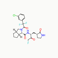 O=C1NCC[C@H]1C[C@H](NC(=O)[C@H]1[C@@H]2CCC[C@@H]2CN1C(=O)C(F)(F)c1cccc(Cl)c1)C(=O)CF